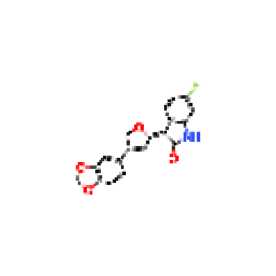 O=C1Nc2cc(F)ccc2C1=C1C=C(c2ccc3c(c2)OCO3)CO1